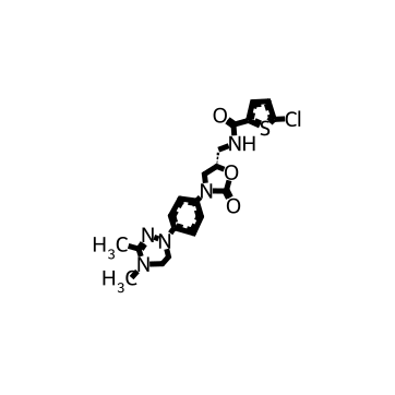 CC1=NN(c2ccc(N3C[C@H](CNC(=O)c4ccc(Cl)s4)OC3=O)cc2)CCN1C